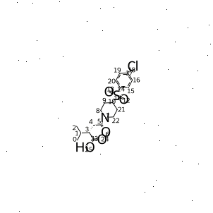 CC(C)[C@H](CC(=O)N1CCC(S(=O)(=O)c2ccc(Cl)cc2)CC1)C(=O)O